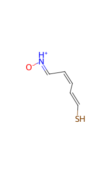 [O-]/[NH+]=C/C=C\C=C\S